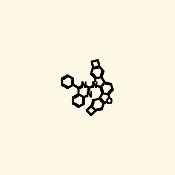 c1ccc(-c2nc(-n3c4cc5c(cc4c4ccc6oc7cc8c(cc7c6c43)CC8)CC5)nc3ccccc23)cc1